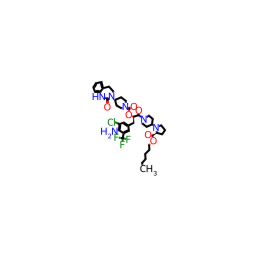 CCCCCCOC(=O)[C@@H]1CCCN1C1CCN(C(=O)[C@@H](Cc2cc(Cl)c(N)c(C(F)(F)F)c2)OC(=O)N2CCC(N3CCc4ccccc4NC3=O)CC2)CC1